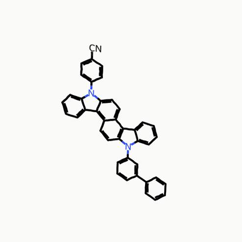 N#Cc1ccc(-n2c3ccccc3c3c4ccc5c(c4ccc32)c2ccccc2n5-c2cccc(-c3ccccc3)c2)cc1